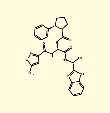 Cc1cc(C(=O)N[C@@H](CC(=O)N2CCC[C@@H]2c2ccccc2)C(=O)NC(C)c2nc3ccccc3[nH]2)no1